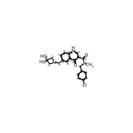 CN(Cc1ccc(Cl)cc1)C(=O)c1c[nH]c2ccc(CN3CC(O)(O)C3)cc2c1=O